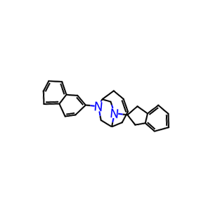 C1=CCC2CN(c3ccc4ccccc4c3)C(C1)CN2C1Cc2ccccc2C1